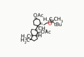 C=C1CC[C@@H]2[C@H](OC(C)=O)[C@H]([C@@]3(C)CC[C@H](OC(C)=O)C[C@@H]3CCO[Si](C)(C)C(C)(C)C)CC[C@]12C